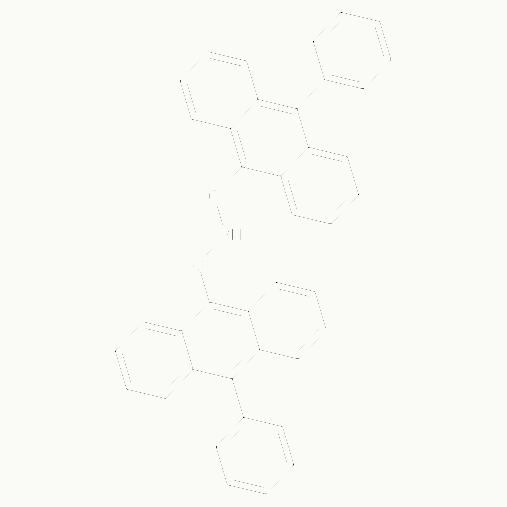 B(Oc1c2ccccc2c(-c2ccccc2)c2ccccc12)Oc1c2ccccc2c(-c2ccccc2)c2ccccc12